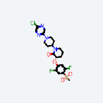 CS(=O)(=O)c1cc(F)c(O[C@H]2CCCN(C3CCN(c4cnc(Cl)cn4)CC3)C2=O)cc1F